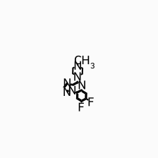 CN1CCN(c2nc3cc(F)c(F)cc3n3ncnc23)CC1